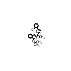 CC(C)OC(=O)c1ccccc1/C=N/N(C)c1nc(-c2ccccc2Cl)cs1